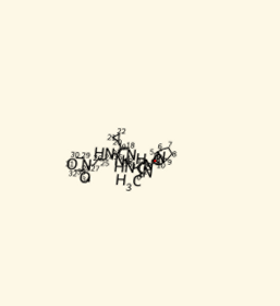 Cc1nn(C2CC3CCC(C2)N3C)cc1Nc1ncc(C2CC2)c(NCCCN2CCOCC2=O)n1